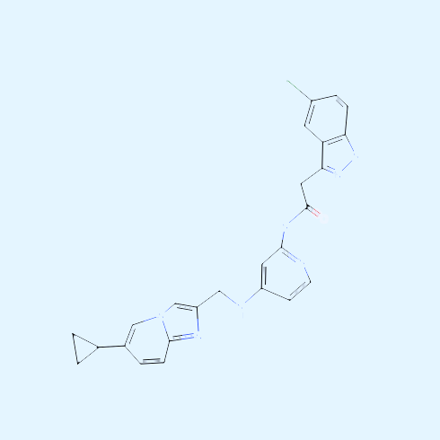 O=C(Cc1n[nH]c2ccc(Cl)cc12)Nc1cc(NCc2cn3cc(C4CC4)ccc3n2)ccn1